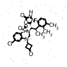 Cc1ccc(F)c([C@@H](C)[C@@H](c2n[nH]c(=O)o2)N2CN(C3CC(=O)C3)c3cc(Cl)ccc3S2(=O)=O)c1C